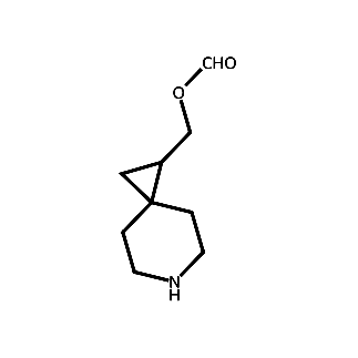 O=COCC1CC12CCNCC2